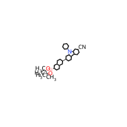 CC1(C)OB(c2ccc3cc(-c4ccc5c6ccc(C#N)cc6n(-c6ccccc6)c5c4)ccc3c2)OC1(C)C